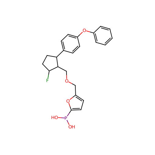 OP(O)c1ccc(COCC2C(F)CCC2c2ccc(Oc3ccccc3)cc2)o1